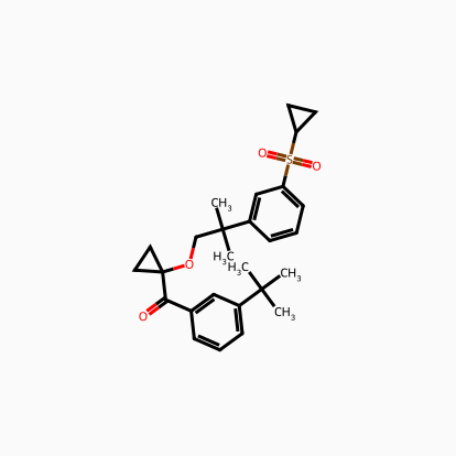 CC(C)(C)c1cccc(C(=O)C2(OCC(C)(C)c3cccc(S(=O)(=O)C4CC4)c3)CC2)c1